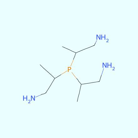 CC(CN)P(C(C)CN)C(C)CN